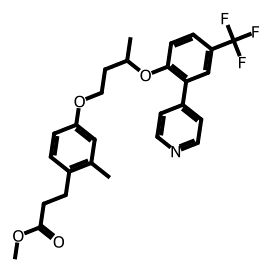 COC(=O)CCc1ccc(OCCC(C)Oc2ccc(C(F)(F)F)cc2-c2ccncc2)cc1C